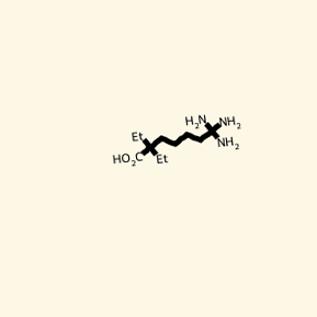 CCC(CC)(CCCCC(N)(N)N)C(=O)O